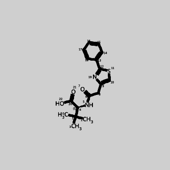 CC(C)(C)[C@H](NC(=O)Cc1csc(-c2ccccc2)n1)C(=O)O